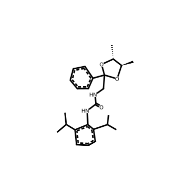 CC(C)c1cccc(C(C)C)c1NC(=O)NCC1(c2ccccc2)O[C@H](C)[C@@H](C)O1